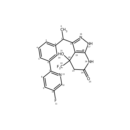 CC(c1cccc(-c2ccc(F)cn2)c1)c1n[nH]c2c1C(O)(C(F)(F)F)CC(=O)N2